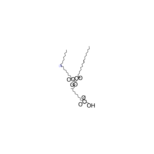 CCCCCCCCC=CCCCCCCCC(=O)OCC(COC(=O)CCCCCCC/C=C\CCCCCCCC)OC(=O)CC(C)CCCCCCCc1c(OC)cc(CO)cc1OC